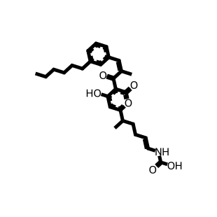 CCCCCCc1cccc(C=C(C)C(=O)c2c(O)cc(C(C)CCC=CNC(=O)O)oc2=O)c1